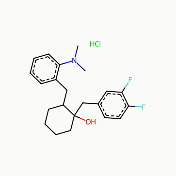 CN(C)c1ccccc1CC1CCCCC1(O)Cc1ccc(F)c(F)c1.Cl